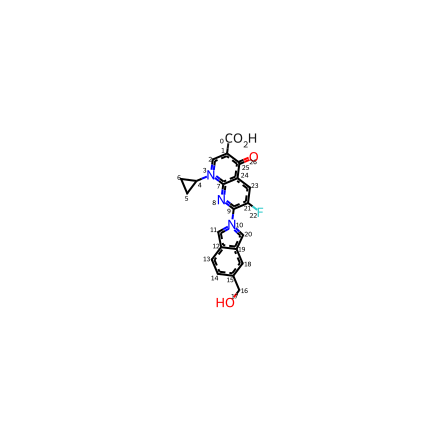 O=C(O)c1cn(C2CC2)c2nc(-n3cc4ccc(CO)cc4c3)c(F)cc2c1=O